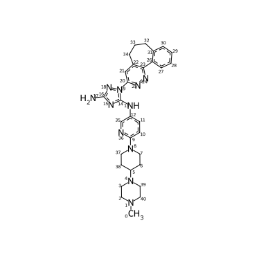 CN1CCN(C2CCN(c3ccc(Nc4nc(N)nn4-c4cc5c(nn4)-c4ccccc4CCC5)cn3)CC2)CC1